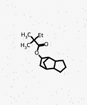 CCC(C)(C)C(=O)OC1CC2CC1C1CCCC21